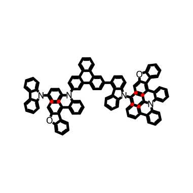 c1ccc(-c2ccccc2N(c2ccc(-n3c4ccccc4c4c(-c5ccc6c(c5)c5ccccc5c5ccc(N(c7ccc(-n8c9ccccc9c9ccccc98)cc7)c7ccccc7-c7cccc8oc9ccccc9c78)cc56)cccc43)cc2)c2ccccc2-c2cccc3oc4ccccc4c23)cc1